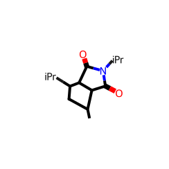 CC(C)C1CC(C)C2C(=O)N(C(C)C)C(=O)C12